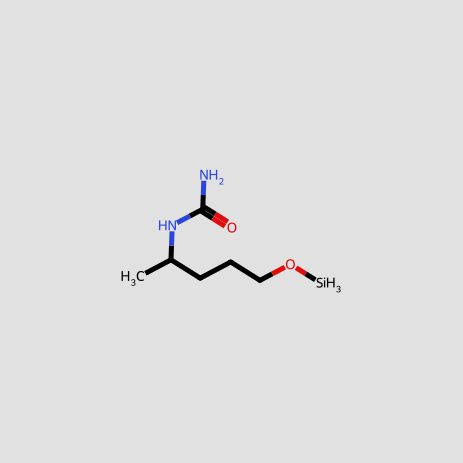 CC(CCCO[SiH3])NC(N)=O